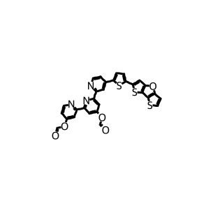 O=COc1ccnc(-c2cc(OC=O)cc(-c3cc(-c4ccc(-c5cc6oc7ccsc7c6s5)s4)ccn3)n2)c1